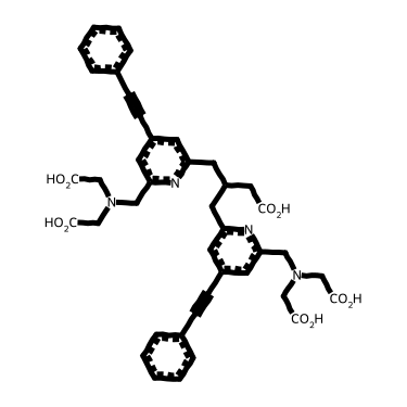 O=C(O)CC(Cc1cc(C#Cc2ccccc2)cc(CN(CC(=O)O)CC(=O)O)n1)Cc1cc(C#Cc2ccccc2)cc(CN(CC(=O)O)CC(=O)O)n1